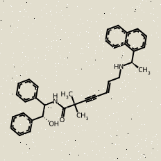 C[C@@H](NC/C=C/C#CC(C)(C)C(=O)NC(c1ccccc1)[C@H](O)c1ccccc1)c1cccc2ccccc12